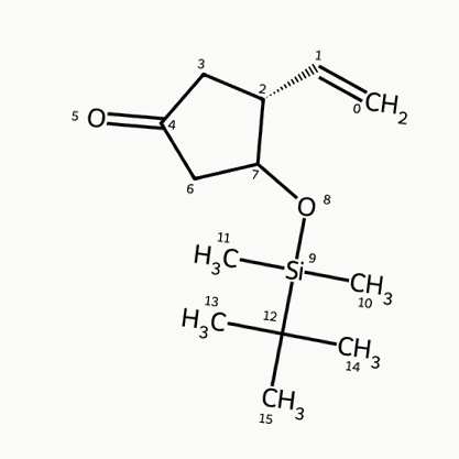 C=C[C@H]1CC(=O)CC1O[Si](C)(C)C(C)(C)C